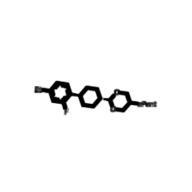 CCCCCC1COC([C@H]2CC[C@H](c3ccc(CC)cc3F)CC2)OC1